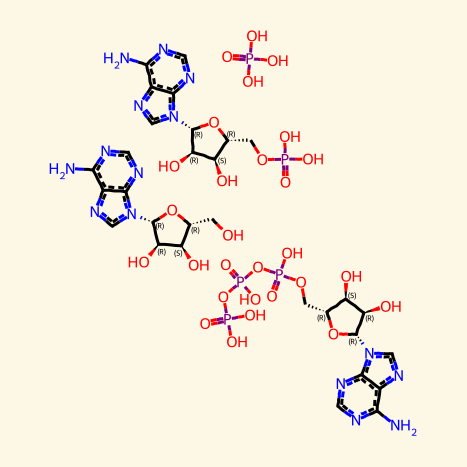 Nc1ncnc2c1ncn2[C@@H]1O[C@H](CO)[C@@H](O)[C@H]1O.Nc1ncnc2c1ncn2[C@@H]1O[C@H](COP(=O)(O)O)[C@@H](O)[C@H]1O.Nc1ncnc2c1ncn2[C@@H]1O[C@H](COP(=O)(O)OP(=O)(O)OP(=O)(O)O)[C@@H](O)[C@H]1O.O=P(O)(O)O